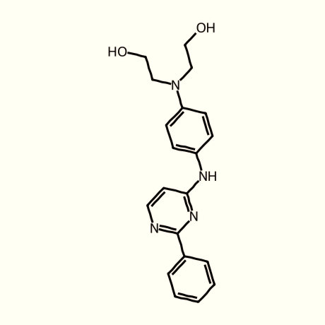 OCCN(CCO)c1ccc(Nc2ccnc(-c3ccccc3)n2)cc1